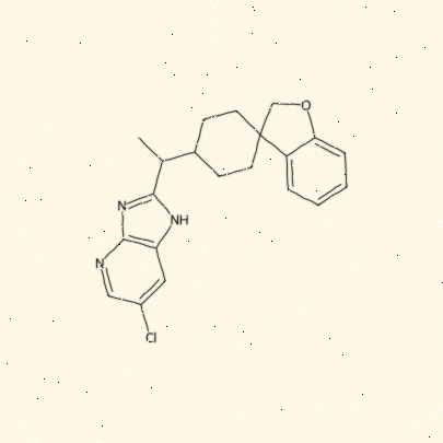 CC(c1nc2ncc(Cl)cc2[nH]1)C1CCC2(CC1)COc1ccccc12